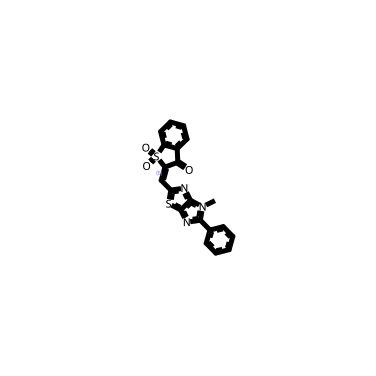 Cn1c(-c2ccccc2)nc2sc(/C=C3\C(=O)c4ccccc4S3(=O)=O)nc21